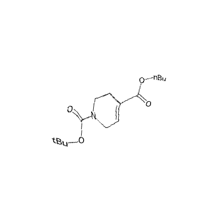 CCCCOC(=O)C1=CCN(C(=O)OC(C)(C)C)CC1